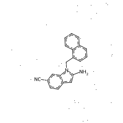 N#Cc1ccc2cc(N)n(Cc3cccc4ccccc34)c2c1